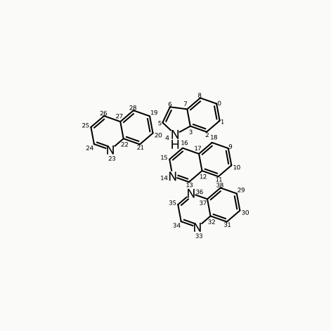 c1ccc2[nH]ccc2c1.c1ccc2cnccc2c1.c1ccc2ncccc2c1.c1ccc2nccnc2c1